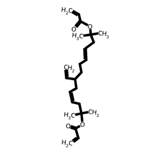 C=CC(=O)OC(C)(C)C/C=C\CC(C=C)CC/C=C/CC(C)(C)OC(=O)C=C